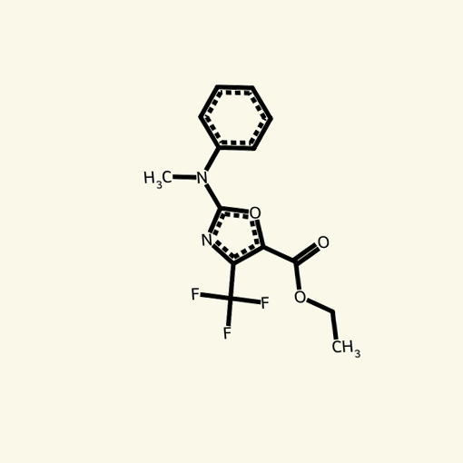 CCOC(=O)c1oc(N(C)c2ccccc2)nc1C(F)(F)F